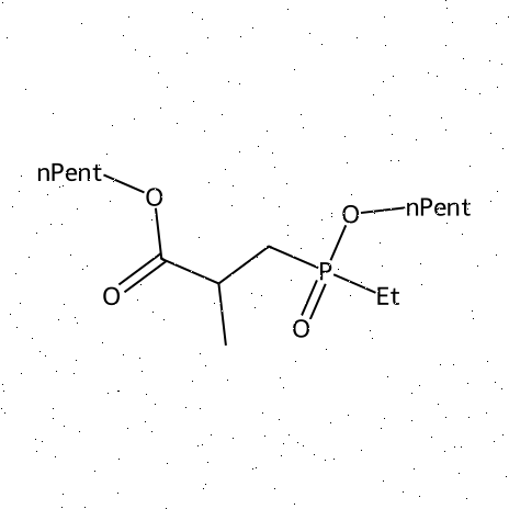 CCCCCOC(=O)C(C)CP(=O)(CC)OCCCCC